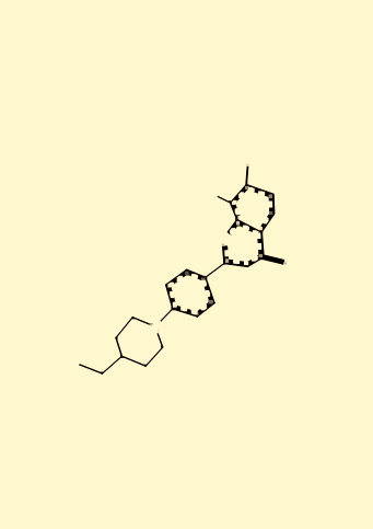 CCC1CCN(c2ccc(-c3cc(=O)c4ccc(O)c(O)c4o3)cc2)CC1